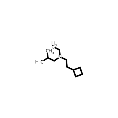 CCN(CCC1CCC1)CC(C)C